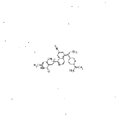 CCN(c1cc(C#N)cc2c(NCc3c(C)cc(C)[nH]c3=O)nccc12)C1CCC(N(C)C)CC1